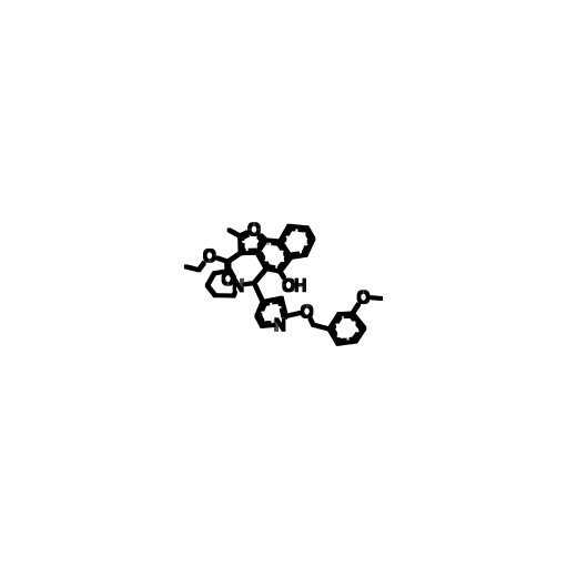 CCOC(=O)c1c(C)oc2c1c(C(c1ccnc(OCc3cccc(OC)c3)c1)N1CCCCC1)c(O)c1ccccc12